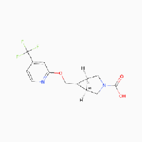 O=C(O)N1C[C@@H]2C(COc3cc(C(F)(F)F)ccn3)[C@@H]2C1